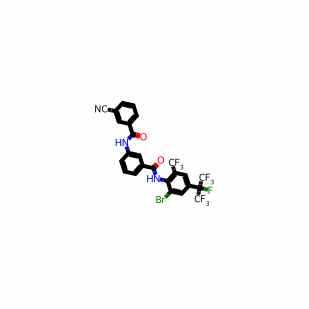 N#Cc1cccc(C(=O)Nc2cccc(C(=O)Nc3c(Br)cc(C(F)(C(F)(F)F)C(F)(F)F)cc3C(F)(F)F)c2)c1